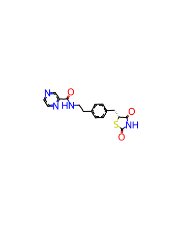 O=C1NC(=O)[C@@H](Cc2ccc(CCNC(=O)c3cnccn3)cc2)S1